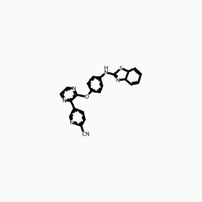 N#Cc1ccc(-c2nccnc2Oc2ccc(NC3=NC4C=CC=CC4S3)cc2)cn1